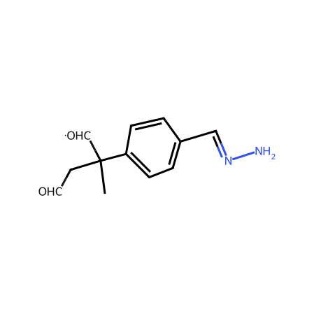 CC([C]=O)(CC=O)c1ccc(C=NN)cc1